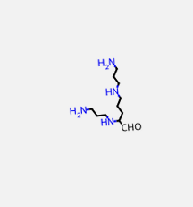 NCCCNCCCC(C=O)NCCCN